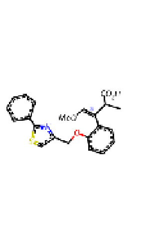 CO/C=C(\c1ccccc1OCc1csc(-c2ccccc2)n1)C(C)C(=O)O